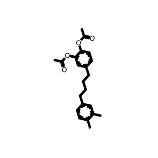 CC(=O)Oc1ccc(CCCCc2ccc(C)c(C)c2)cc1OC(C)=O